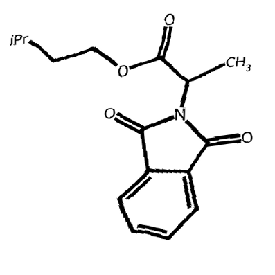 CC(C)CCOC(=O)C(C)N1C(=O)c2ccccc2C1=O